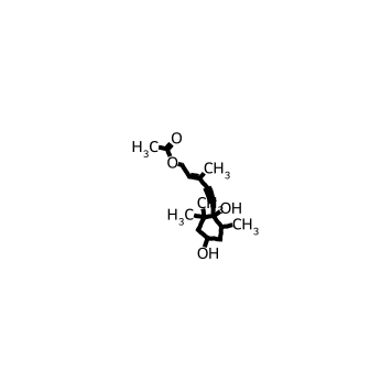 CC(=O)OCC=C(C)C#CC1(O)C(C)CC(O)CC1(C)C